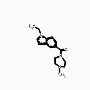 CN1CCN(C(=O)c2ccc3c(ccn3CC(F)(F)F)c2)CC1